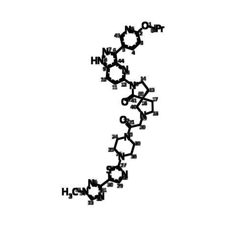 CC(C)Oc1ccc(-c2n[nH]c3ccc(N4CC[C@]5(CCN(CC(=O)N6CCN(c7ncc(-c8ncn(C)n8)s7)CC6)C5)C4=O)nc23)cn1